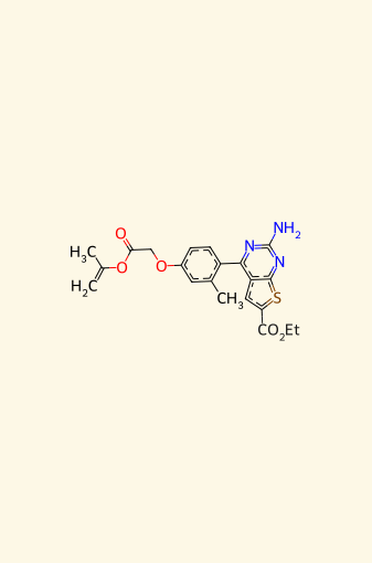 C=C(C)OC(=O)COc1ccc(-c2nc(N)nc3sc(C(=O)OCC)cc23)c(C)c1